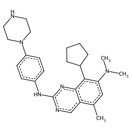 Cc1cc(N(C)C)c(C2CCCC2)c2nc(Nc3ccc(N4CCNCC4)cc3)ncc12